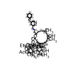 CCC(=O)O[C@@H]1CC(=O)O[C@@H](C/C=C/c2cncc(Sc3ccccc3)c2)CCCN(C)C[C@H](O)[C@H](C)C[C@H](CC=O)[C@H](O[C@@H]2OC(C)[C@@H](O[C@H]3CC(C)(OC(C)=O)[C@@H](OC(=O)CC)C(C)O3)C(N(C)C)C2O)[C@H]1OC